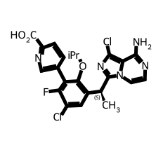 CC(C)Oc1c([C@H](C)c2nc(Cl)c3c(N)nccn23)cc(Cl)c(F)c1-c1ccc(C(=O)O)nc1